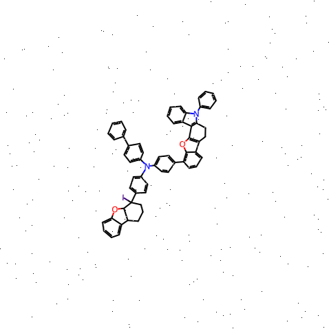 IC1(c2ccc(N(c3ccc(-c4ccccc4)cc3)c3ccc(-c4cccc5c6c(oc45)-c4c(n(-c5ccccc5)c5ccccc45)CC6)cc3)cc2)CCCC2c3ccccc3OC21